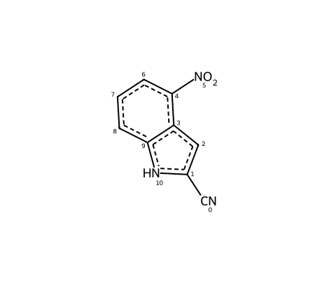 N#Cc1cc2c([N+](=O)[O-])cccc2[nH]1